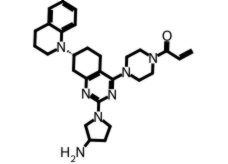 C=CC(=O)N1CCN(c2nc(N3CCC(N)C3)nc3c2CC[C@@H](N2CCCc4ccccc42)C3)CC1